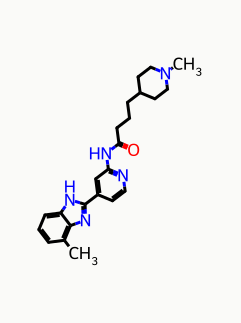 Cc1cccc2[nH]c(-c3ccnc(NC(=O)CCCC4CCN(C)CC4)c3)nc12